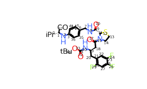 CC(C)[C@@H](Nc1ccc(CNC(=O)[C@@H]2SCCN2C(=O)C[C@@H](Cc2cc(F)c(F)cc2F)NC(=O)OC(C)(C)C)cc1)C(=O)O